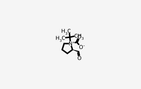 CC(C)(C)[N+]1(C(=O)[O-])CCC[C@@H]1C=O